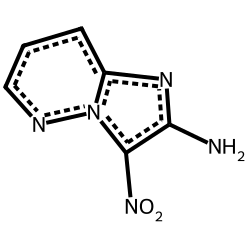 Nc1nc2cccnn2c1[N+](=O)[O-]